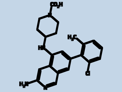 Cc1cccc(Cl)c1-c1cc(NC2CCN(C(=O)O)CC2)c2cc(N)ncc2c1